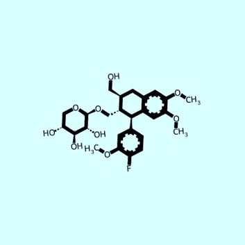 COc1cc([C@@H]2c3cc(OC)c(OC)cc3C[C@H](CO)[C@H]2CO[C@@H]2OC[C@@H](O)[C@H](O)[C@H]2O)ccc1F